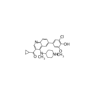 COc1cc(-c2ccc3ncc(C(=O)C4CC4)c(N(C)C4CCNCC4)c3c2)cc(Cl)c1O